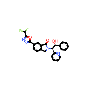 O=C1c2cc(-c3nnc(C(F)F)o3)ccc2CN1[C@H](c1ccccn1)[C@H](O)c1ccccc1